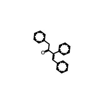 O=C(Cc1ccccc1)C(=Cc1ccccc1)c1ccccc1